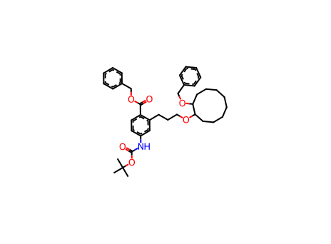 CC(C)(C)OC(=O)Nc1ccc(C(=O)OCc2ccccc2)c(CCCOC2CCCCCCCCC2OCc2ccccc2)c1